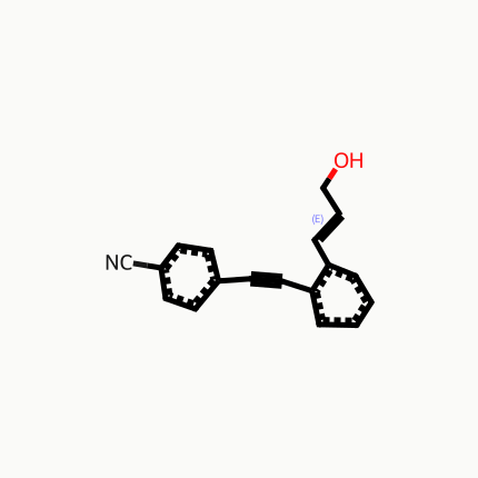 N#Cc1ccc(C#Cc2ccccc2/C=C/CO)cc1